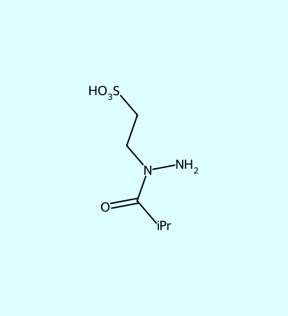 CC(C)C(=O)N(N)CCS(=O)(=O)O